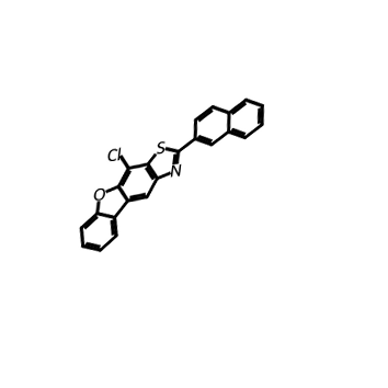 Clc1c2oc3ccccc3c2cc2nc(-c3ccc4ccccc4c3)sc12